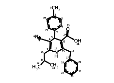 Cc1ccc(C2C(C#N)=C(CC(C)C)NC(Cc3ccccc3)=C2C(=O)O)cc1